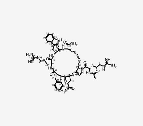 CC(=O)N[C@@H](CCCNC(=N)N)C(=O)N[C@H]1CCSSC[C@@H](C(N)=O)NC(=O)[C@H](Cc2c[nH]c3ccccc23)NC(=O)[C@H](CCCNC(=N)N)NC(=O)[C@@H](Cc2ccccc2)NC(=O)[C@H](CCC(N)=O)NC1=O